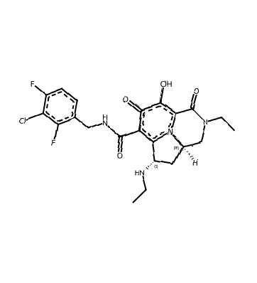 CCN[C@H]1C[C@@H]2CN(CC)C(=O)c3c(O)c(=O)c(C(=O)NCc4ccc(F)c(Cl)c4F)c1n32